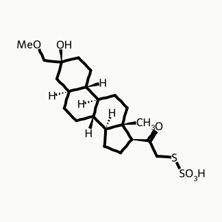 COC[C@]1(O)CC[C@H]2[C@@H](CC[C@@H]3[C@@H]2CC[C@]2(C)[C@@H](C(=O)CSS(=O)(=O)O)CC[C@@H]32)C1